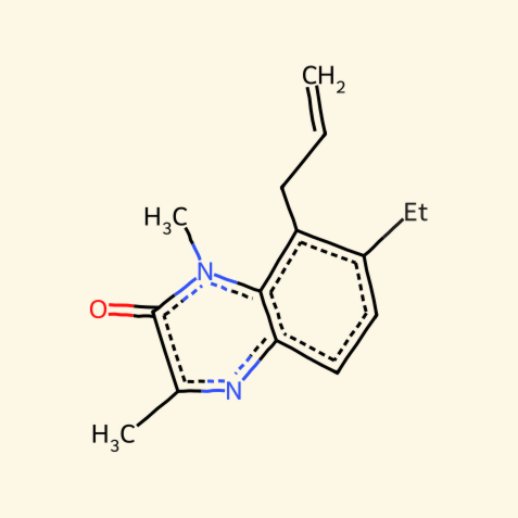 C=CCc1c(CC)ccc2nc(C)c(=O)n(C)c12